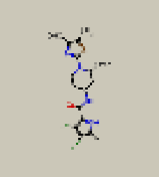 COC1CC(NC(=O)c2[nH]c(C)c(Cl)c2Cl)CCN1c1nc(C=O)c(C(=O)O)s1